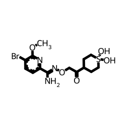 COc1nc(/C(N)=N/OCC(=O)C2CCS(O)(O)CC2)ccc1Br